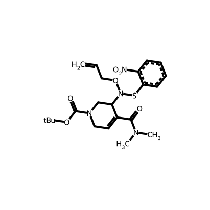 C=CCON(Sc1ccccc1[N+](=O)[O-])C1CN(C(=O)OC(C)(C)C)CC=C1C(=O)N(C)C